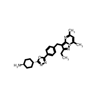 CCc1nn2c(C)cc(C)nc2c1Cc1ccc(-c2nnc([C@H]3CC[C@H](N)CC3)o2)cc1